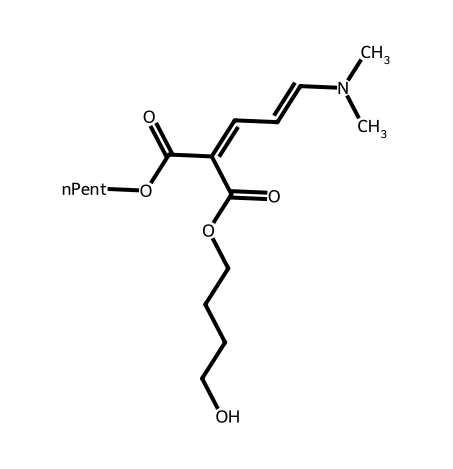 CCCCCOC(=O)/C(=C/C=C/N(C)C)C(=O)OCCCCO